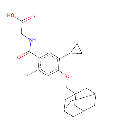 O=C(O)CNC(=O)c1cc(C2CC2)c(OCC23CC4CC(CC(C4)C2)C3)cc1F